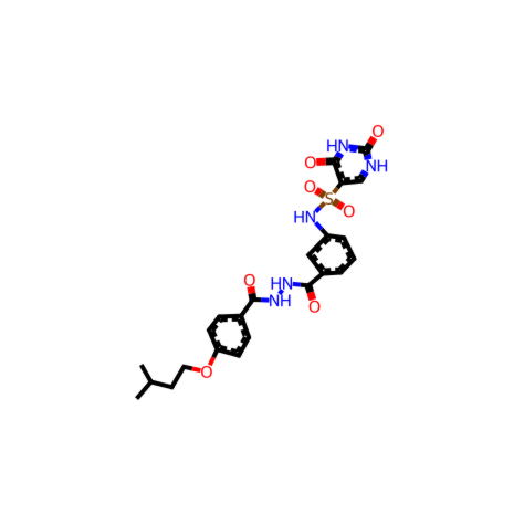 CC(C)CCOc1ccc(C(=O)NNC(=O)c2cccc(NS(=O)(=O)c3c[nH]c(=O)[nH]c3=O)c2)cc1